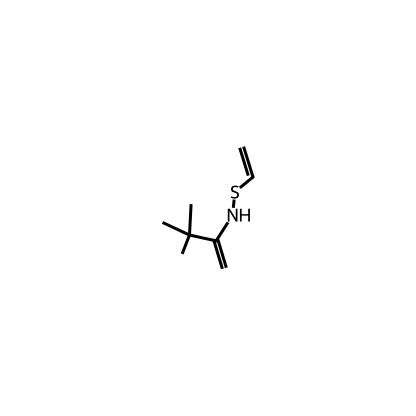 C=CSNC(=C)C(C)(C)C